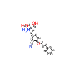 N#Cc1cc(CCC(N)(CO)CO)ccc1OCCCc1ccccc1